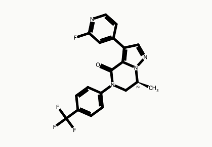 C[C@H]1CN(c2ccc(C(F)(F)F)cc2)C(=O)c2c(-c3ccnc(F)c3)cnn21